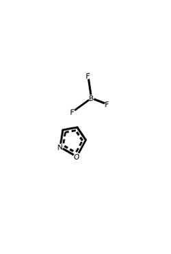 FB(F)F.c1cnoc1